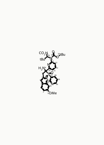 COc1ccc2cc(CC(N)(c3cccc(N(C(=O)OC(C)(C)C)C(C(=O)O)C(C)(C)C)n3)S(=O)(=O)c3cccnc3)sc2c1